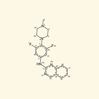 CN1CCN(c2c(F)cc(Nc3ncc4ccccc4n3)cc2F)CC1